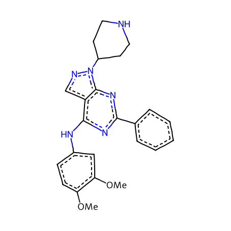 COc1ccc(Nc2nc(-c3ccccc3)nc3c2cnn3C2CCNCC2)cc1OC